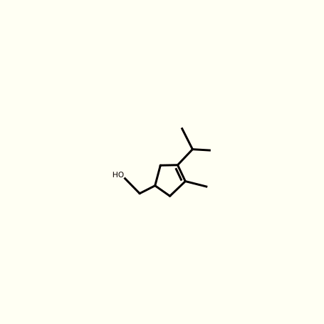 CC1=C(C(C)C)CC(CO)C1